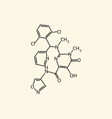 CN(c1nc(C(=O)Nc2cnoc2)c(O)c(=O)n1C)C(c1ccccn1)c1c(Cl)cccc1Cl